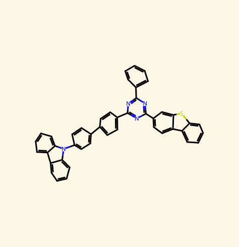 c1ccc(-c2nc(-c3ccc(-c4ccc(-n5c6ccccc6c6ccccc65)cc4)cc3)nc(-c3ccc4c(c3)sc3ccccc34)n2)cc1